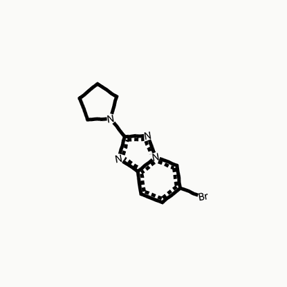 Brc1ccc2nc(N3CCCC3)nn2c1